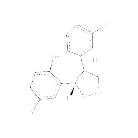 Clc1ccc2c(c1)[C@H]1CNC[C@@H]1c1c[c]([Y])ccc1O2